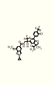 COc1cc(C(=O)NC[C@](O)(c2cc3c(c(-c4ccc(C(F)(F)F)c(Cl)c4)n2)OC[C@]3(C)C(N)=O)C(F)(F)F)cc2cn(C3CC3)nc12